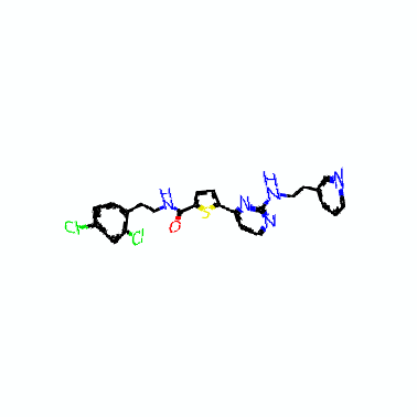 O=C(NCCc1ccc(Cl)cc1Cl)c1ccc(-c2ccnc(NCCc3cccnc3)n2)s1